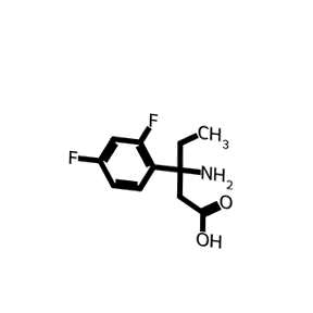 CCC(N)(CC(=O)O)c1ccc(F)cc1F